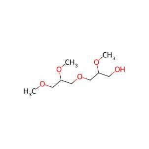 COCC(COCC(CO)OC)OC